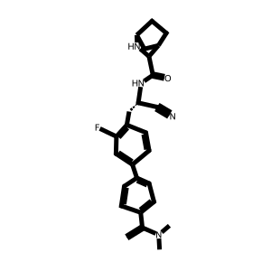 C=C(c1ccc(-c2ccc(C[C@@H](C#N)NC(=O)C3NC4CCC3C4)c(F)c2)cc1)N(C)C